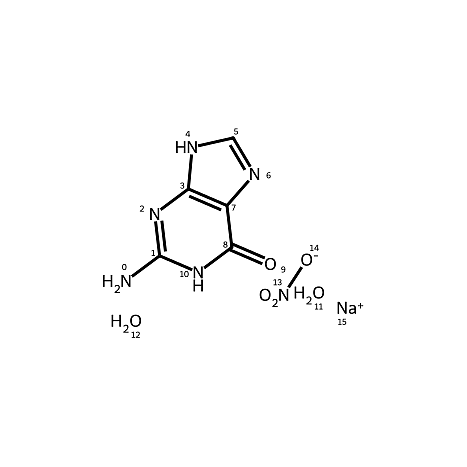 Nc1nc2[nH]cnc2c(=O)[nH]1.O.O.O=[N+]([O-])[O-].[Na+]